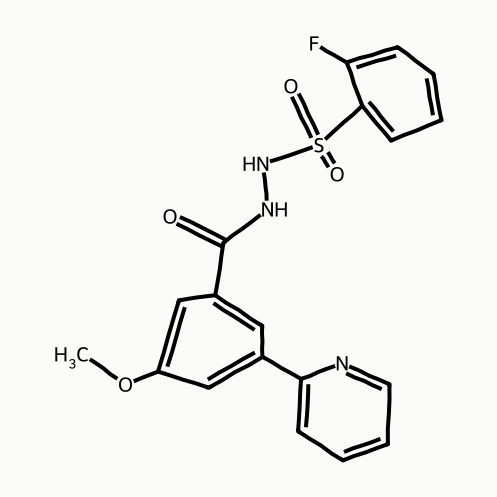 COc1cc(C(=O)NNS(=O)(=O)c2ccccc2F)cc(-c2ccccn2)c1